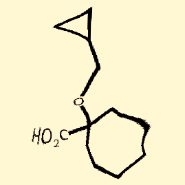 O=C(O)C1(OCC2CC2)CCCCC1